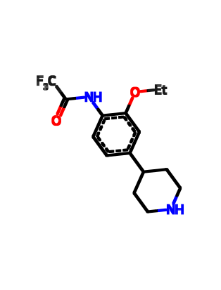 CCOc1cc(C2CCNCC2)ccc1NC(=O)C(F)(F)F